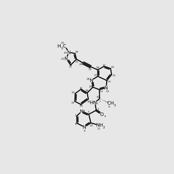 C[C@H](NC(=O)c1nccnc1N)c1nc2cccc(C#Cc3cnn(C)c3)c2nc1-c1ccccc1